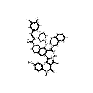 Cc1c(C(=O)N(C)c2ccc(O)cc2)cc(-c2cc3c(cc2C(=O)N2Cc4ccccc4C[C@H]2CN2CCOCC2)CN(C(=O)C=Cc2ccc(Cl)c(Cl)c2)CC3)n1C